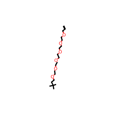 C=CCOCCOCCOCCOCCOCCOCCC(C)(C)C